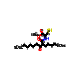 CCCCCCCCCCCCCCCC(=O)C(CCCCCCCCCCCCCC)C(=O)NC(CS)C(=O)OC(C)(C)C